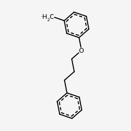 [CH2]c1cccc(OCCCc2ccccc2)c1